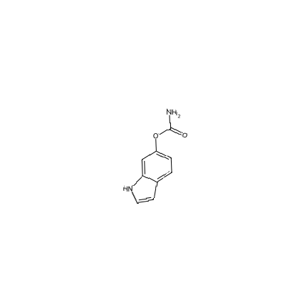 NC(=O)Oc1ccc2cc[nH]c2c1